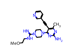 COCCNC(=N)N1CCN(c2nc(N)nc(C)c2C#Cc2cccnc2)CC1